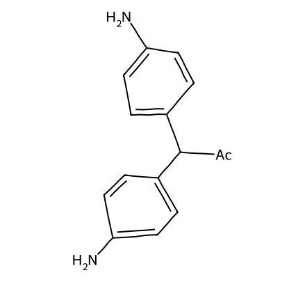 CC(=O)C(c1ccc(N)cc1)c1ccc(N)cc1